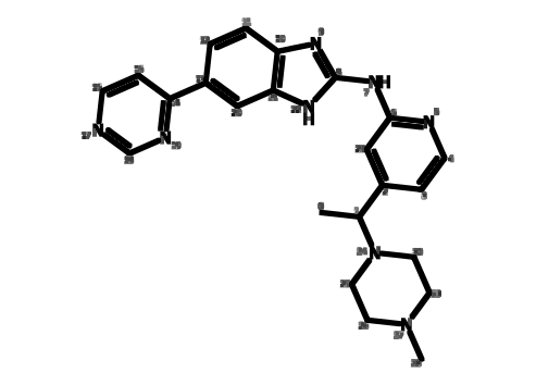 CC(c1ccnc(Nc2nc3ccc(-c4ccncn4)cc3[nH]2)c1)N1CCN(C)CC1